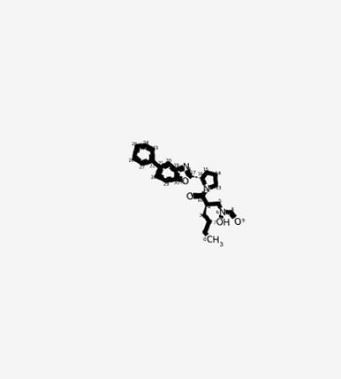 CCCC[C@H](CN(O)C=O)C(=O)N1CCC[C@H]1c1nc2cc(-c3ccccc3)ccc2o1